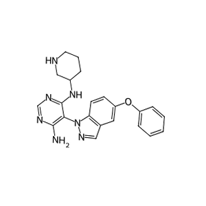 Nc1ncnc(NC2CCCNC2)c1-n1ncc2cc(Oc3ccccc3)ccc21